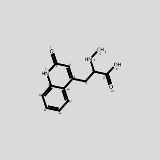 CNC(Cc1cc(=O)[nH]c2ccccc12)C(=O)O